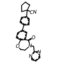 N#CC1(c2ccc(-c3ccc4c(c3)C(=O)N(Cc3ncccn3)CCO4)cc2)CCCC1